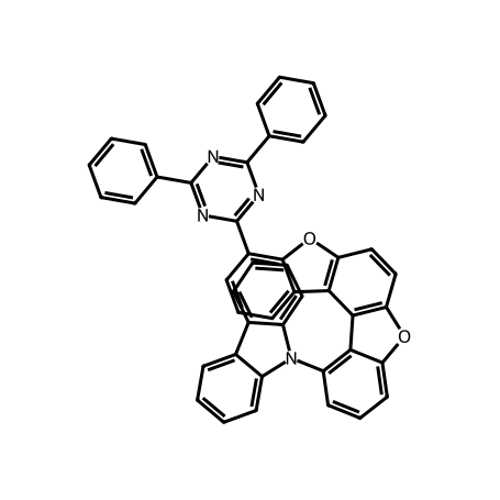 c1ccc(-c2nc(-c3ccccc3)nc(-c3cccc4c3oc3ccc5oc6cccc(-n7c8ccccc8c8ccccc87)c6c5c34)n2)cc1